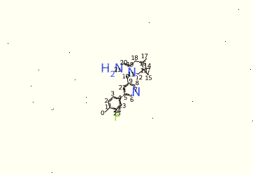 Cc1ccc(-c2cncc(CN3CC4(CC4)C(C)C/C3=C/N)c2)cc1F